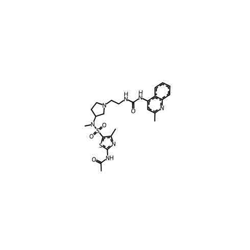 CC(=O)Nc1nc(C)c(S(=O)(=O)N(C)C2CCN(CCNC(=O)Nc3cc(C)nc4ccccc34)C2)s1